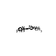 CNc1ccc(C#Cc2nc3ccc(F)nc3s2)nc1